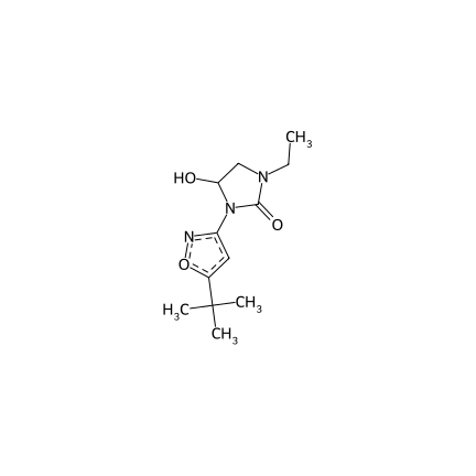 CCN1CC(O)N(c2cc(C(C)(C)C)on2)C1=O